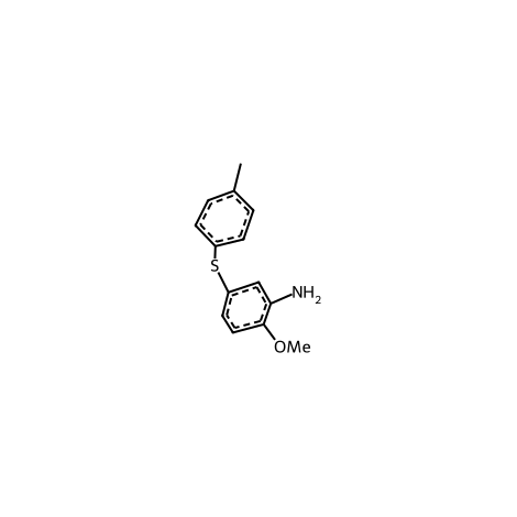 COc1ccc(Sc2ccc(C)cc2)cc1N